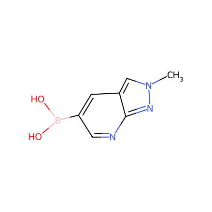 Cn1cc2cc(B(O)O)cnc2n1